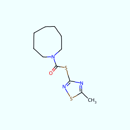 Cc1nc(SC(=O)N2CCCCCCC2)ns1